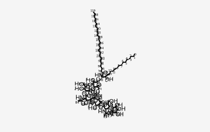 CCCCCCCCCCCCC/C=C/[C@@H](O)[C@H](CO[C@@H]1OC(CO)[C@@H](O[C@@H]2OC(CO)[C@H](O)[C@H](O[C@@H]3OC(CO)[C@@H](O[C@@H]4OC(CO)[C@H](O)[C@H](O[C@H]5OC(CO)[C@@H](O[C@@H]6OC(CO)[C@H](O)[C@H](O)C6O)[C@H](O)C5NC(C)=O)C4O)[C@H](O)C3NC(C)=O)C2O)[C@H](O)C1O)NC(=O)CCCCCCCCCCCCCCCCCCCCCCCCC